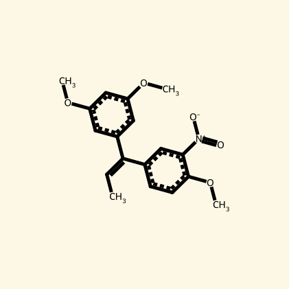 C/C=C(/c1cc(OC)cc(OC)c1)c1ccc(OC)c([N+](=O)[O-])c1